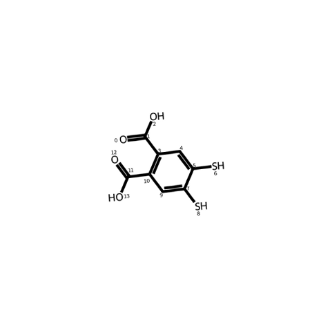 O=C(O)c1cc(S)c(S)cc1C(=O)O